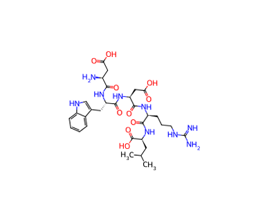 CC(C)C[C@H](NC(=O)[C@H](CCCNC(=N)N)NC(=O)[C@H](CC(=O)O)NC(=O)[C@H](Cc1c[nH]c2ccccc12)NC(=O)[C@@H](N)CC(=O)O)C(=O)O